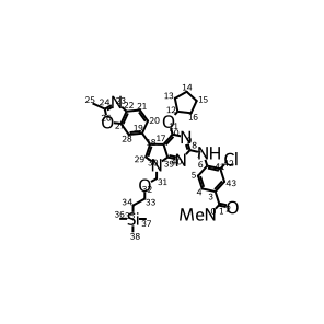 CNC(=O)c1ccc(Nc2nc(OC3CCCC3)c3c(-c4ccc5nc(C)oc5c4)cn(COCC[Si](C)(C)C)c3n2)c(Cl)c1